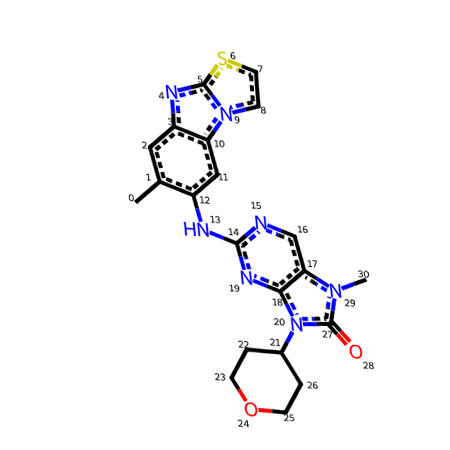 Cc1cc2nc3sccn3c2cc1Nc1ncc2c(n1)n(C1CCOCC1)c(=O)n2C